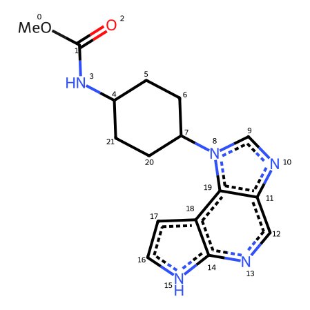 COC(=O)NC1CCC(n2cnc3cnc4[nH]ccc4c32)CC1